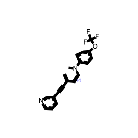 C=C(C#Cc1cccnc1)/C=C\N(C)c1ccc(OC(F)(F)F)cc1